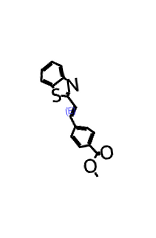 COC(=O)c1ccc(/C=C/c2nc3ccccc3s2)cc1